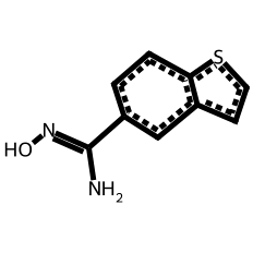 N/C(=N\O)c1ccc2sccc2c1